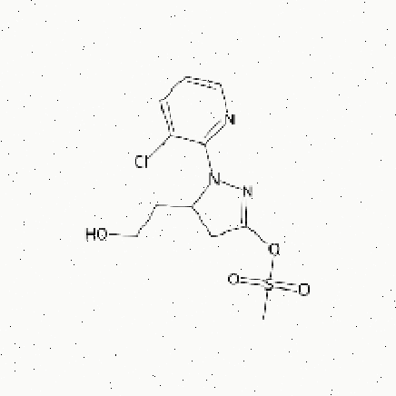 CS(=O)(=O)OC1=NN(c2ncccc2Cl)C(CCO)C1